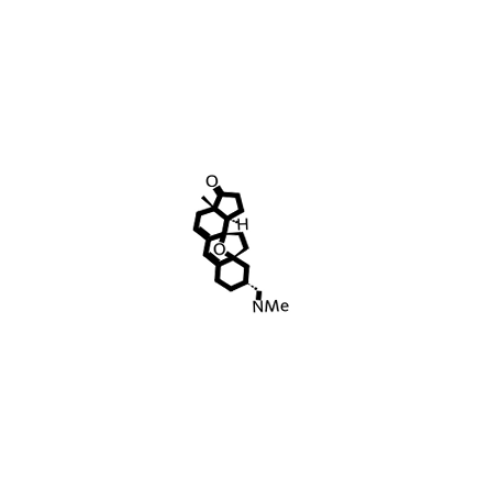 CNC[C@@H]1CCC2=CC3=CC[C@]4(C)C(=O)CC[C@H]4[C@@]34CC[C@]2(C1)O4